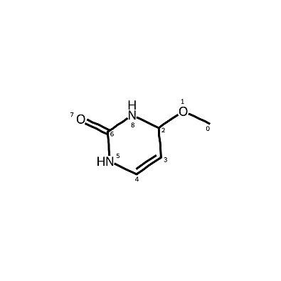 COC1C=CNC(=O)N1